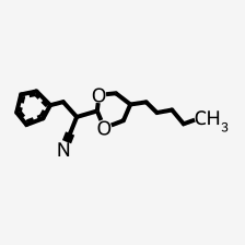 CCCCCC1COC(C(C#N)Cc2ccccc2)OC1